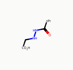 CCCC(=O)NNCC(=O)O